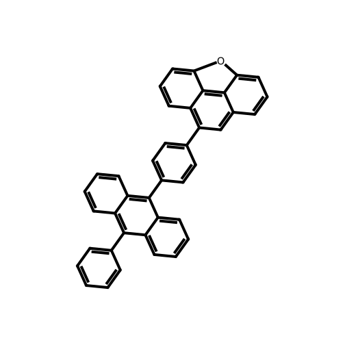 c1ccc(-c2c3ccccc3c(-c3ccc(-c4cc5cccc6oc7cccc4c7c56)cc3)c3ccccc23)cc1